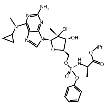 CC(C)OC(=O)[C@@H](C)N[P@](=O)(OC[C@H]1O[C@@H](n2cnc3c(N(C)C4CC4)nc(N)nc32)[C@](C)(O)[C@@H]1O)Oc1ccccc1